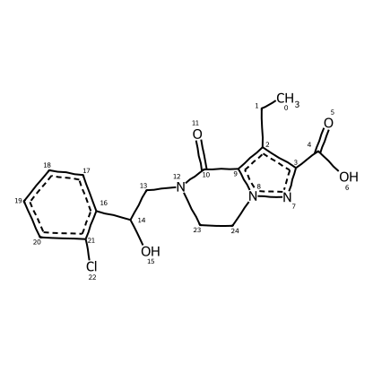 CCc1c(C(=O)O)nn2c1C(=O)N(CC(O)c1ccccc1Cl)CC2